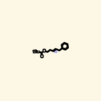 CC(C)(C)C(=O)OCC/C=C/Cc1ccccc1